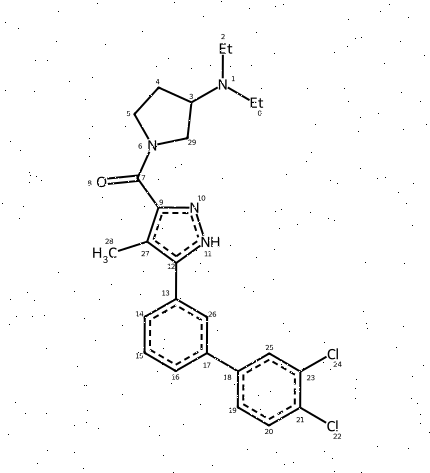 CCN(CC)C1CCN(C(=O)c2n[nH]c(-c3cccc(-c4ccc(Cl)c(Cl)c4)c3)c2C)C1